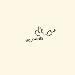 CCC1=C(NCc2ccc(F)cc2)C(CC)=C(NC(=O)O)[CH]C1